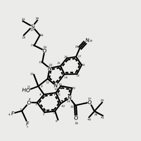 Cc1cc(OC(F)F)c(C(C)(O)c2nc3ccc(C#N)cc3n2COCC[Si](C)(C)C)c2ccn(C(=O)OC(C)(C)C)c12